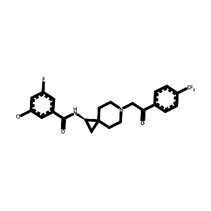 O=C(CN1CCC2(CC1)C[C@H]2NC(=O)c1cc(F)cc(Cl)c1)c1ccc(C(F)(F)F)cc1